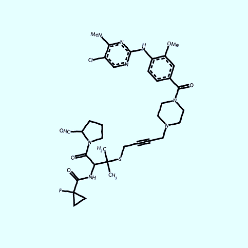 CNc1nc(Nc2ccc(C(=O)N3CCN(CC#CCSC(C)(C)C(NC(=O)C4(F)CC4)C(=O)N4CCCC4C=O)CC3)cc2OC)ncc1Cl